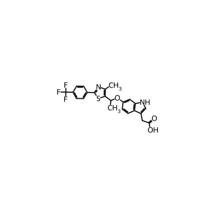 Cc1nc(-c2ccc(C(F)(F)F)cc2)sc1C(C)Oc1ccc2c(CC(=O)O)c[nH]c2c1